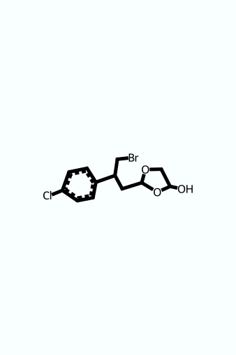 OC1COC(CC(CBr)c2ccc(Cl)cc2)O1